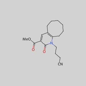 COC(=O)c1cc2c(n(CCCC#N)c1=O)CCCCCC2